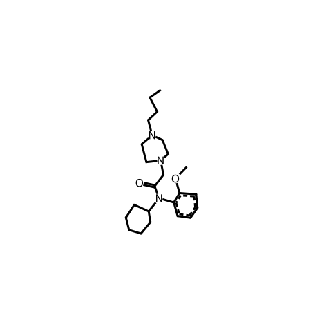 CCCCN1CCN(CC(=O)N(c2ccccc2OC)C2CCCCC2)CC1